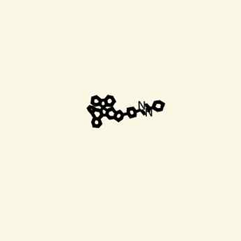 c1ccc(-c2cnc(-c3ccc(-c4ccc5cc6c(cc5c4)C4(c5ccccc5-c5ccccc54)c4c-6c5ccccc5c5ccccc45)cc3)cn2)cc1